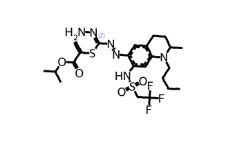 C=C(S/C(N=Nc1cc2c(cc1NS(=O)(=O)CC(F)(F)F)N(CCCC)C(C)CC2)=N\N)C(=O)OC(C)C